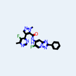 Cc1ncnc(-c2cnn(C)c2C(=O)Nc2cc3nc(-c4ccccc4)nn3cc2F)c1F